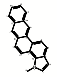 Cn1ccc2ccc3c4cc5ccccc5cc4ccc3c21